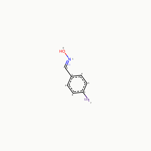 O/N=C/c1ccc([123I])cc1